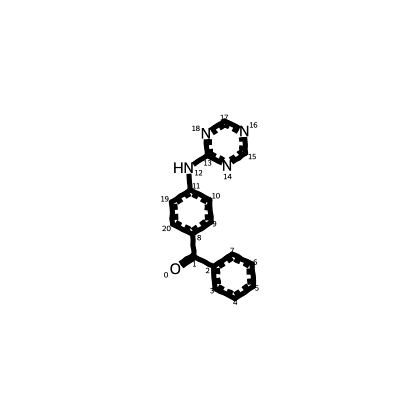 O=C(c1ccccc1)c1ccc(Nc2ncncn2)cc1